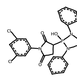 O=C1CC([P]2(O)N(c3ccccc3)CCN2c2ccccc2)C(=O)N1c1cc(Cl)cc(Cl)c1